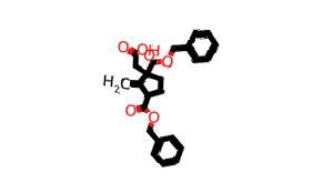 C=C1C(C(=O)OCc2ccccc2)CCC1(CC(=O)O)C(=O)OCc1ccccc1